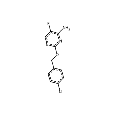 Nc1nc(OCc2ccc(Cl)cc2)ncc1F